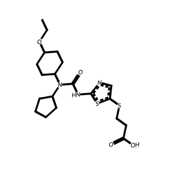 CCOC1CCC(N(C(=O)Nc2ncc(SCCC(=O)O)s2)C2CCCC2)CC1